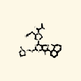 C=C(F)C(=O)N1CCN(c2nc(OC[C@@H]3CCCN3C)nc3c(F)c(-c4cccc5cccc(C)c45)ncc23)C=C1CC#N